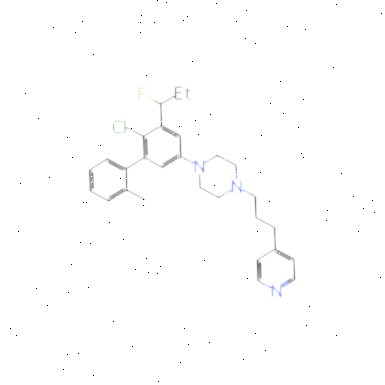 CCC(F)c1cc(N2CCN(CCCc3ccncc3)CC2)cc(-c2ccccc2C)c1Cl